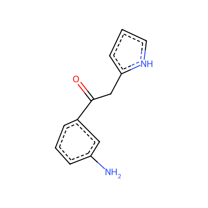 Nc1cccc(C(=O)Cc2ccc[nH]2)c1